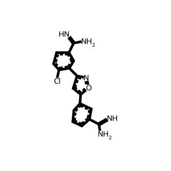 N=C(N)c1cccc(-c2cc(-c3cc(C(=N)N)ccc3Cl)no2)c1